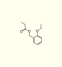 CCOc1ccccc1COC(=O)CC